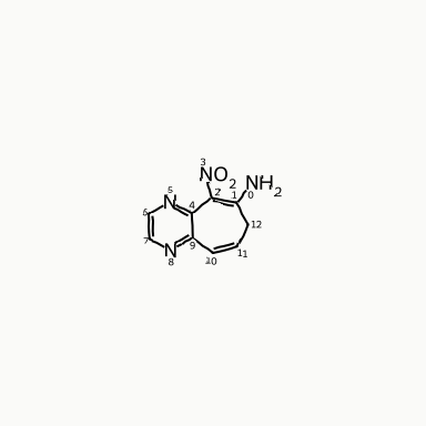 NC1=C([N+](=O)[O-])c2nccnc2C=CC1